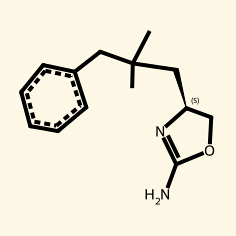 CC(C)(Cc1ccccc1)C[C@H]1COC(N)=N1